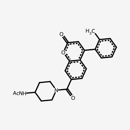 CC(=O)NC1CCN(C(=O)c2ccc3c(-c4ccccc4C)cc(=O)oc3c2)CC1